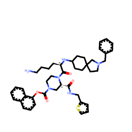 NCCCC[C@@H](NC1CCC2(CC1)CCN(Cc1ccccc1)C2)C(=O)N1CCN(C(=O)Oc2cccc3ccccc23)C[C@H]1C(=O)NCc1cccs1